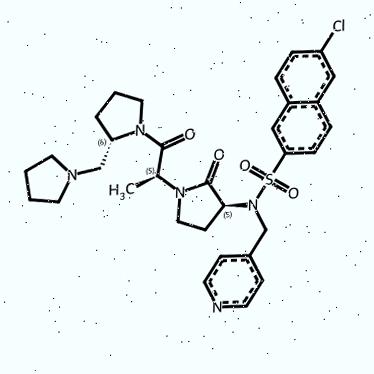 C[C@@H](C(=O)N1CCC[C@H]1CN1CCCC1)N1CC[C@H](N(Cc2ccncc2)S(=O)(=O)c2ccc3cc(Cl)ccc3c2)C1=O